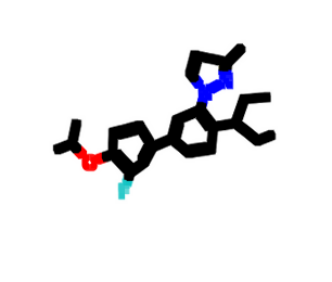 CCC(CC)c1ccc(-c2ccc(OC(C)C)c(F)c2)cc1-n1ccc(C)n1